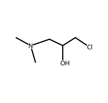 CN(C)CC(O)CCl